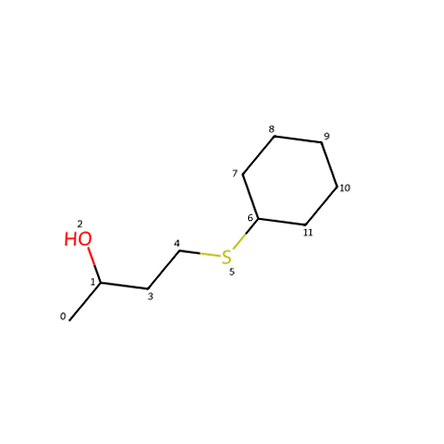 CC(O)CCSC1CCCCC1